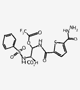 NNC(=O)c1ccc(C(=O)NC(OC(=O)C(F)(F)F)[C@H](NS(=O)(=O)c2ccccc2)C(=O)O)s1